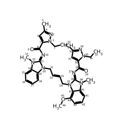 CCn1nc(C)cc1C(=O)/N=c1\n(C)c2ccccc2n1C/C=C/Cn1/c(=N/C(=O)c2cc(C)nn2CC)n(C)c2cccc(OC)c21